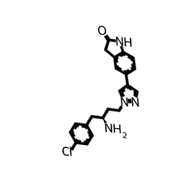 N[C@H](CCn1cc(-c2ccc3c(c2)CC(=O)N3)cn1)Cc1ccc(Cl)cc1